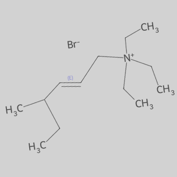 CCC(C)/C=C/C[N+](CC)(CC)CC.[Br-]